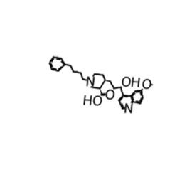 COc1ccc2nccc(C(O)CC[C@@H]3CCN(CCCCc4ccccc4)C[C@@H]3C(=O)O)c2c1